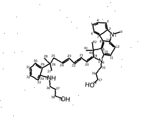 Cn1c2ccccc2c2c3c(ccc21)N(CCCO)/C(=C/C=C/C=C/CC(C)(C)c1ccccc1NCCCO)C3(C)C